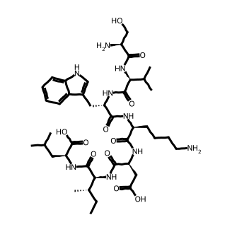 CC[C@H](C)[C@H](NC(=O)[C@H](CC(=O)O)NC(=O)[C@H](CCCCN)NC(=O)[C@H](Cc1c[nH]c2ccccc12)NC(=O)[C@@H](NC(=O)[C@@H](N)CO)C(C)C)C(=O)N[C@@H](CC(C)C)C(=O)O